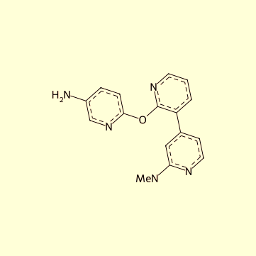 CNc1cc(-c2cccnc2Oc2ccc(N)cn2)ccn1